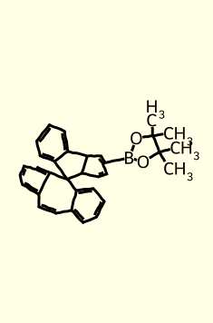 CC1(C)OB(C2=CC3c4ccccc4C4(c5ccccc5C=Cc5ccccc54)C3C=C2)OC1(C)C